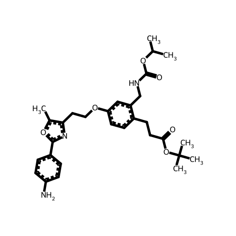 Cc1oc(-c2ccc(N)cc2)nc1CCOc1ccc(CCC(=O)OC(C)(C)C)c(CNC(=O)OC(C)C)c1